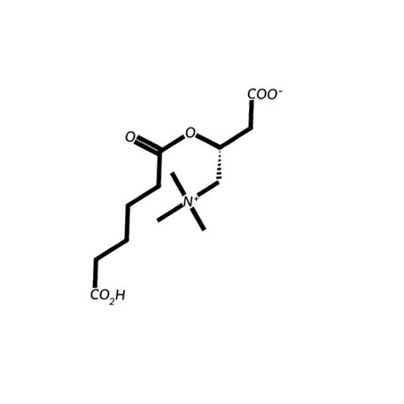 C[N+](C)(C)C[C@@H](CC(=O)[O-])OC(=O)CCCCC(=O)O